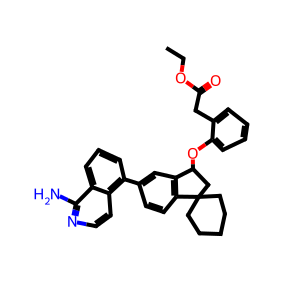 CCOC(=O)Cc1ccccc1OC1CC2(CCCCC2)c2ccc(-c3cccc4c(N)nccc34)cc21